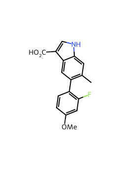 COc1ccc(-c2cc3c(C(=O)O)c[nH]c3cc2C)c(F)c1